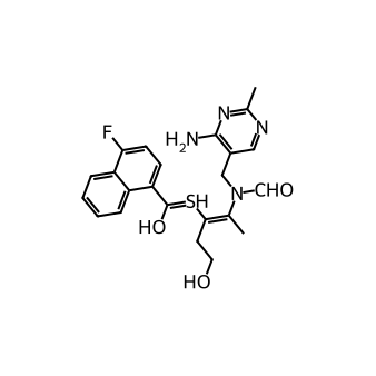 C/C(=C(CCO)/[SH]=C(\O)c1ccc(F)c2ccccc12)N(C=O)Cc1cnc(C)nc1N